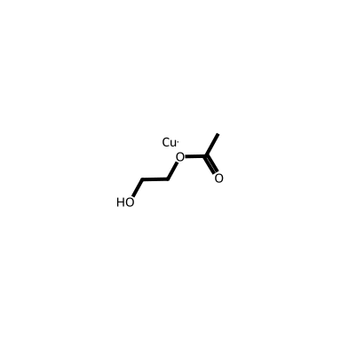 CC(=O)OCCO.[Cu]